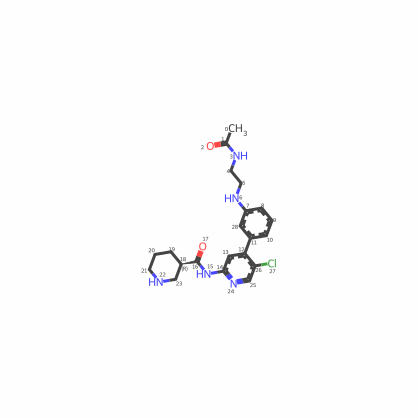 CC(=O)NCCNc1cccc(-c2cc(NC(=O)[C@@H]3CCCNC3)ncc2Cl)c1